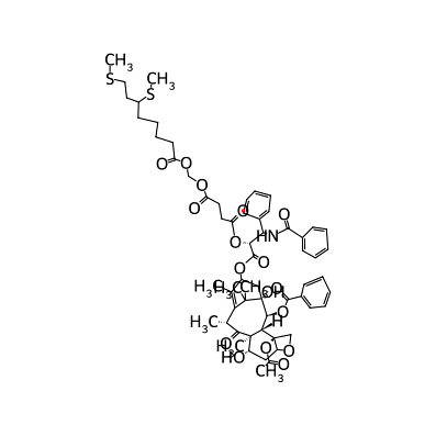 CSCCC(CCCCC(=O)OCOC(=O)CCC(=O)O[C@@H](C(=O)OC1C[C@@]2(O)[C@@H](OC(=O)c3ccccc3)[C@H]3[C@](C)(C(=O)[C@H](C)C(=C1C)C2(C)C)[C@@H](O)CC1OC[C@]13OC(C)=O)C(NC(=O)c1ccccc1)c1ccccc1)SC